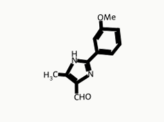 COc1cccc(-c2nc(C=O)c(C)[nH]2)c1